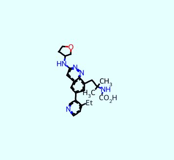 CCc1ccncc1-c1cc(CC(C)(C)NC(=O)O)c2nnc(NC3CCOC3)cc2c1